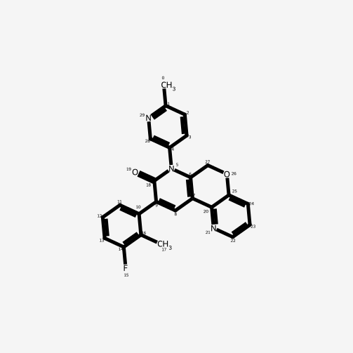 Cc1ccc(-n2c3c(cc(-c4cccc(F)c4C)c2=O)-c2ncccc2OC3)cn1